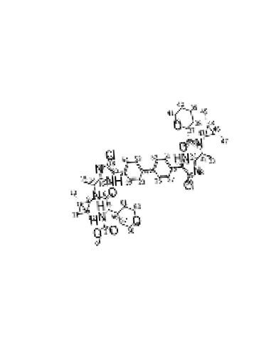 COC(=O)N[C@H](C(=O)N([C@H]1[C@H]2C[C@]21C)[C@@H](C)c1nc(Cl)c(-c2ccc(-c3ccc(-c4[nH]c([C@H](C)N(C(=O)[C@H]5CCCCO5)[C@@H]5[C@H](C)[C@@H]5C)nc4Cl)cc3)cc2)[nH]1)C1CCOCC1